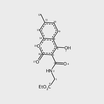 CCOC(=O)CNC(=O)c1c(O)c2ccc(C)cc2oc1=O